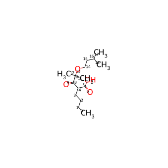 CCCCC(C(=O)O)C(=O)C(C)(C)OCCC(C)C